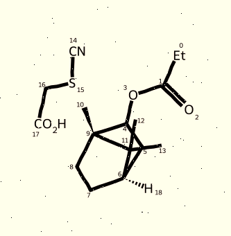 CCC(=O)OC1C[C@H]2CC[C@@]1(C)C2(C)C.N#CSCC(=O)O